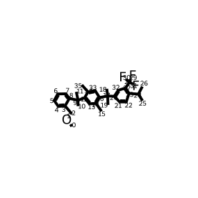 COCc1ccccc1C(C)(C)c1cc(C)c(C(C)(C)c2ccc(C(C)C)c(C(F)(F)F)c2)cc1C